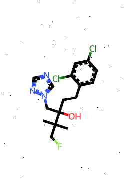 CC(C)(CF)C(O)(CCc1ccc(Cl)cc1Cl)Cn1cncn1